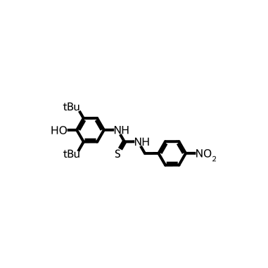 CC(C)(C)c1cc(NC(=S)NCc2ccc([N+](=O)[O-])cc2)cc(C(C)(C)C)c1O